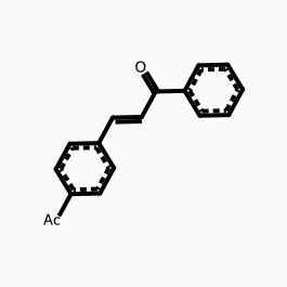 CC(=O)c1ccc(C=CC(=O)c2ccccc2)cc1